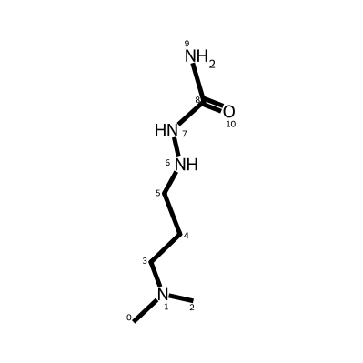 CN(C)CCCNNC(N)=O